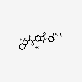 COc1cccc(N2C(=O)c3ccc(C(=O)NC(C)CN4CCCCC4)cc3C2=O)c1.Cl